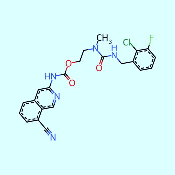 CN(CCOC(=O)Nc1cc2cccc(C#N)c2cn1)C(=O)NCc1cccc(F)c1Cl